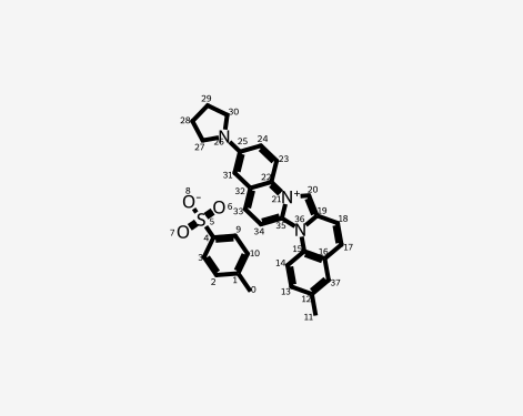 Cc1ccc(S(=O)(=O)[O-])cc1.Cc1ccc2c(ccc3c[n+]4c5ccc(N6CCCC6)cc5ccc4n32)c1